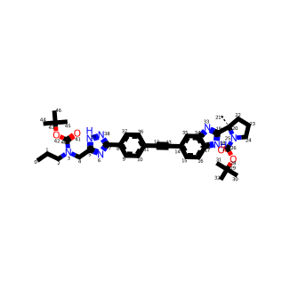 CCCN(Cc1nc(-c2ccc(C#Cc3ccc4[nH]c([C@@]5(C)CCCN5C(=O)OC(C)(C)C)nc4c3)cc2)n[nH]1)C(=O)OC(C)(C)C